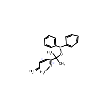 C=C/C=C\C(=N/C)C(C)(C)OB(c1ccccc1)c1ccccc1